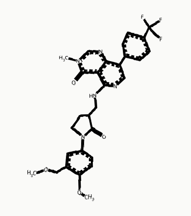 COCc1cc(N2CCC(CNc3ncc(-c4ccc(C(F)(F)F)cc4)c4ncn(C)c(=O)c34)C2=O)ccc1OC